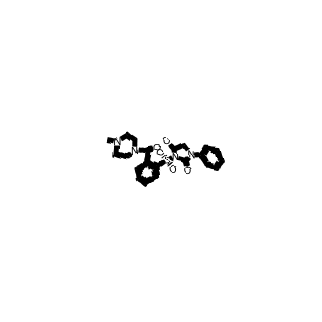 CN1CCN(C(=O)c2ccccc2S(=O)(=O)N2C(=O)CN(c3ccccc3)C2=O)CC1